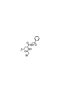 CSCCC(NC(=O)CBr)C(=O)NCC(=O)c1ccccc1